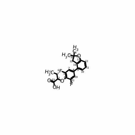 CCC(Oc1c(F)cc(-c2cccc3c2CC(C)(C)O3)cc1F)C(=O)O